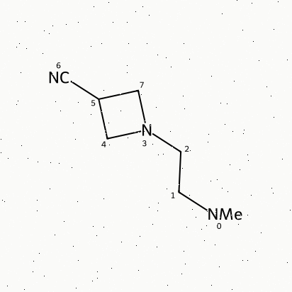 CNCCN1CC(C#N)C1